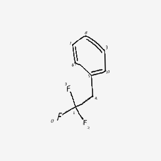 FC(F)(F)Cc1[c]cccc1